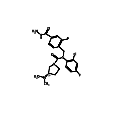 CN(C)[C@@H]1CCN(C(=O)N(Cc2ccc(C(=O)NN)cc2F)c2ccc(F)cc2Cl)C1